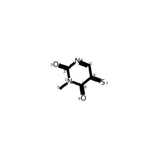 CN1C(=O)N=CC(=S)C1=O